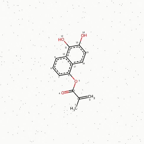 C=C(C)C(=O)Oc1cccc2c(O)c(O)ccc12